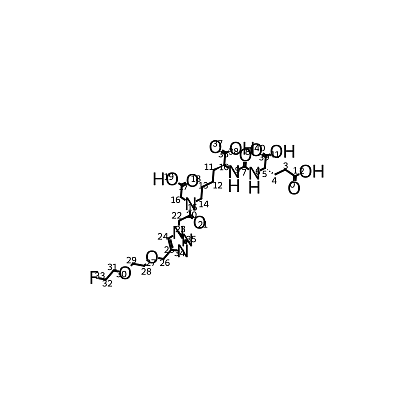 O=C(O)CC[C@H](NC(=O)N[C@@H](CCCCN(CC(=O)O)C(=O)Cn1cc(COCCOCCF)nn1)C(=O)O)C(=O)O